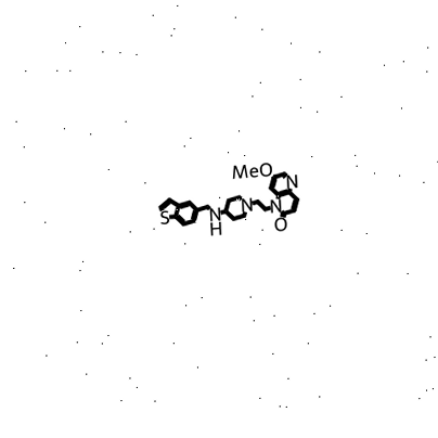 COc1cnc2ccc(=O)n(CCN3CCC(NCc4ccc5sccc5c4)CC3)c2c1